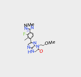 C=N/C(=N\NC)c1ccc(-c2cnc3c(n2)N(CCOC)C(=O)CN3)c(C)c1F